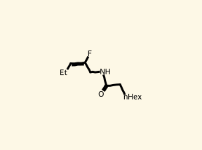 CC/C=C(/F)CNC(=O)CCCCCCC